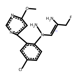 COc1cc(-c2cc(Cl)ccc2N(N)/C=C(\N)CF)ncn1